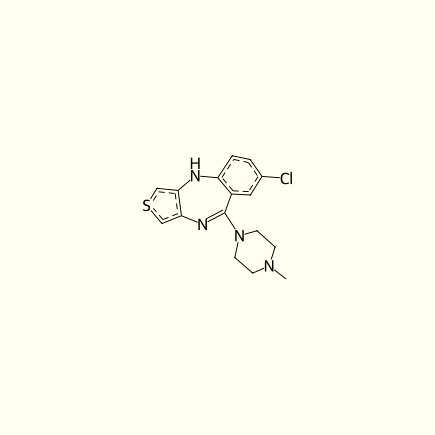 CN1CCN(C2=Nc3cscc3Nc3ccc(Cl)cc32)CC1